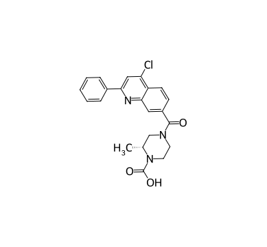 C[C@@H]1CN(C(=O)c2ccc3c(Cl)cc(-c4ccccc4)nc3c2)CCN1C(=O)O